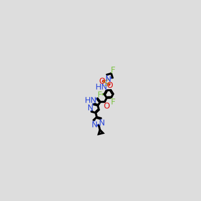 O=C(c1c(F)ccc(NS(=O)(=O)N2CC(F)C2)c1F)c1c[nH]c2ncc(-c3cnc(C4CC4)nc3)cc12